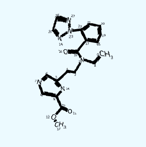 CCN(CCc1cncc(C(=O)OC)n1)C(=O)c1ccccc1-n1nccn1